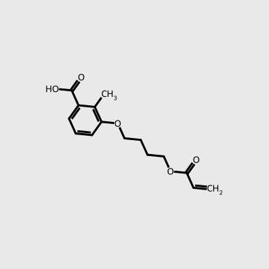 C=CC(=O)OCCCCOc1cccc(C(=O)O)c1C